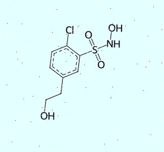 O=S(=O)(NO)c1cc(CCO)ccc1Cl